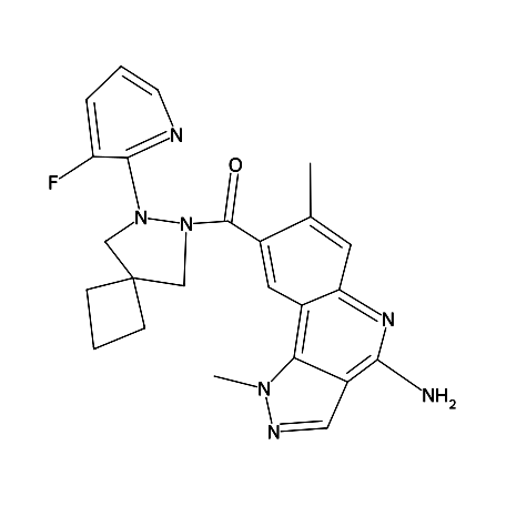 Cc1cc2nc(N)c3cnn(C)c3c2cc1C(=O)N1CC2(CCC2)CN1c1ncccc1F